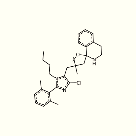 CCCCn1c(-c2c(C)cccc2C)nc(Cl)c1CC(C)(C)CC1(OC)NCCc2ccccc21